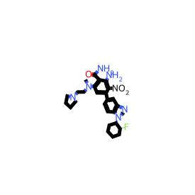 CN(CCN1CCCC1)c1cc(-c2ccc3c(c2)ncn3[C@@H]2CCCC[C@H]2F)c([N+](=O)[O-])c(N)c1C(N)=O